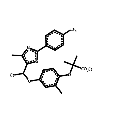 CCOC(=O)C(C)(C)Oc1ccc(OC(CC)c2sc(-c3ccc(C(F)(F)F)cc3)nc2C)cc1C